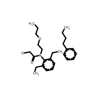 CCCOCCN(C(=O)CCl)c1c(CC)cccc1CC.CC[CH]Cc1ccccc1